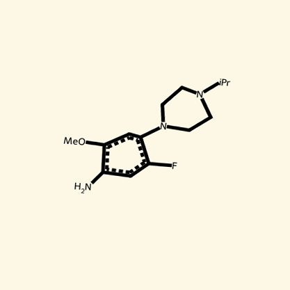 COc1cc(N2CCN(C(C)C)CC2)c(F)cc1N